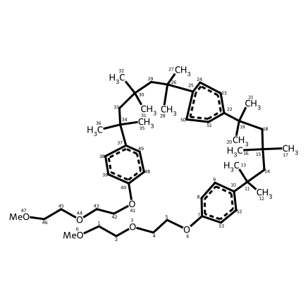 COCCOCCOc1ccc(C(C)(C)CC(C)(C)CC(C)(C)c2ccc(C(C)(C)CC(C)(C)CC(C)(C)c3ccc(OCCOCCOC)cc3)cc2)cc1